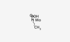 CCCCCC[PH](=O)O.[Mo]